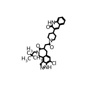 CC(C)(C)CN1Cc2c(cc(Cl)c3[nH]ncc23)CC(CC(=O)N2CCC(c3cc4ccccc4[nH]c3=O)CC2)C1=O